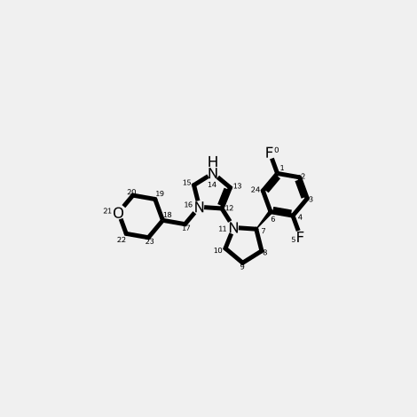 Fc1ccc(F)c([C@H]2CCCN2C2=CNCN2CC2CCOCC2)c1